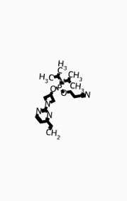 C=Cc1ccnc(N2CC(OP(OCCC#N)N(C(C)C)C(C)C)C2)n1